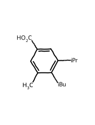 CCC(C)c1c(C)cc(C(=O)O)cc1C(C)C